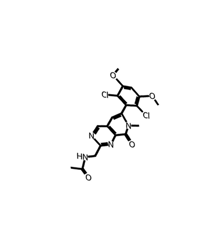 COc1cc(OC)c(Cl)c(-c2cc3cnc(CNC(C)=O)nc3c(=O)n2C)c1Cl